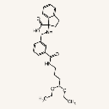 CCOC(CCCNC(=O)c1cccc(CNC2(C(=O)O)CCc3ccccc32)c1)OCC